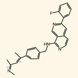 C/N=C(C)\C=C(/C)c1ccc(CNc2nccc3cc(-c4ccccc4F)ncc23)cc1